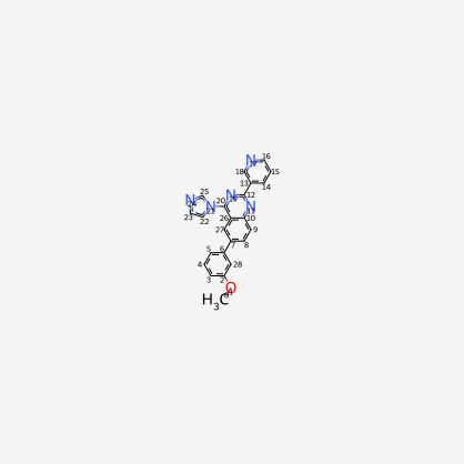 COc1cccc(-c2ccc3nc(-c4cccnc4)nc(-n4ccnc4)c3c2)c1